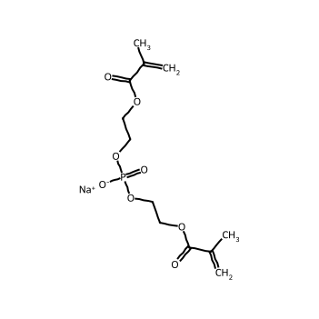 C=C(C)C(=O)OCCOP(=O)([O-])OCCOC(=O)C(=C)C.[Na+]